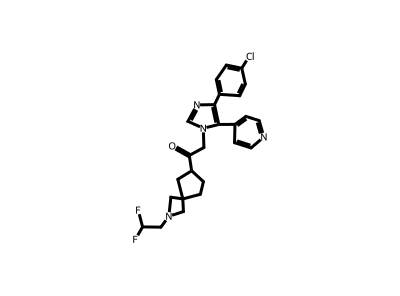 O=C(Cn1cnc(-c2ccc(Cl)cc2)c1-c1ccncc1)C1CCC2(C1)CN(CC(F)F)C2